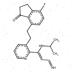 CC(C)N/C(=C\C=N)c1ncccc1CCc1ccc(F)c2c1C(=O)CC2